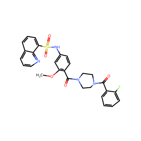 COc1cc(NS(=O)(=O)c2cccc3cccnc23)ccc1C(=O)N1CCN(C(=O)c2ccccc2F)CC1